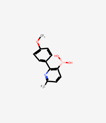 OB(O)c1ccc(C(F)(F)F)nc1-c1ccc(OC(F)(F)F)cc1